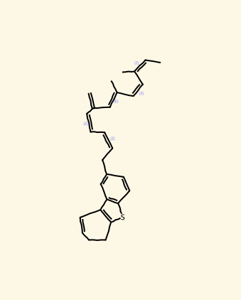 C=C(/C=C\C=C/Cc1ccc2sc3c(c2c1)C=CCC3)/C=C(C)/C=C\C(C)=C/C